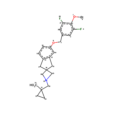 CCOc1c(F)cc(COc2ccc3c(c2)CC2(C3)CN(CC3(C(=O)O)CC3)C2)cc1F